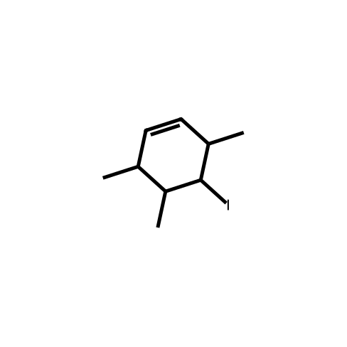 CC1C=CC(C)C(I)C1C